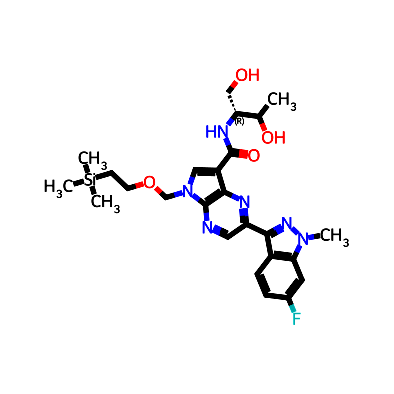 CC(O)[C@@H](CO)NC(=O)c1cn(COCC[Si](C)(C)C)c2ncc(-c3nn(C)c4cc(F)ccc34)nc12